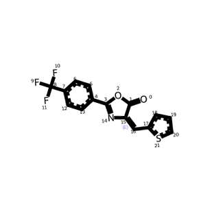 O=C1OC(c2ccc(C(F)(F)F)cc2)=N/C1=C/c1cccs1